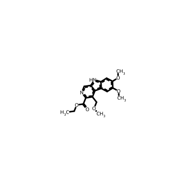 CCOC(=O)c1ncc2[nH]c3cc(OC)c(OC)cc3c2c1COC